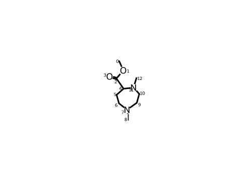 COC(=O)C1CCN(I)CCN1C